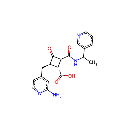 CC(NC(=O)C1C(=O)[C@H](Cc2ccnc(N)c2)[C@H]1C(=O)O)c1cccnc1